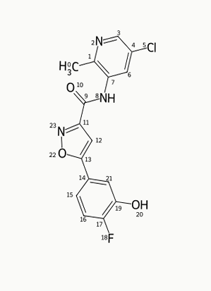 Cc1ncc(Cl)cc1NC(=O)c1cc(-c2ccc(F)c(O)c2)on1